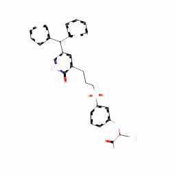 CC(Oc1cccc(S(=O)(=O)CCCc2cc(C(c3ccccc3)c3ccccc3)c[nH]c2=O)c1)C(=O)O